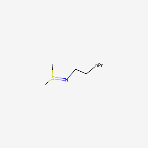 CCCCCN=S(C)C